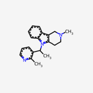 Cc1ncccc1C(C)n1c2c(c3ccccc31)CN(C)CC2